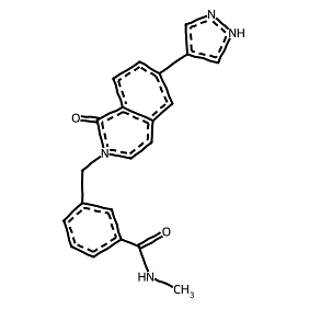 CNC(=O)c1cccc(Cn2ccc3cc(-c4cn[nH]c4)ccc3c2=O)c1